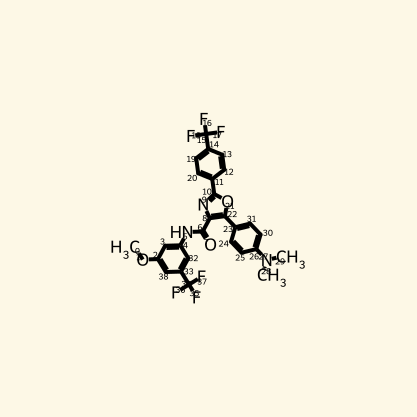 COc1cc(NC(=O)c2nc(-c3ccc(C(F)(F)F)cc3)oc2-c2ccc(N(C)C)cc2)cc(C(F)(F)F)c1